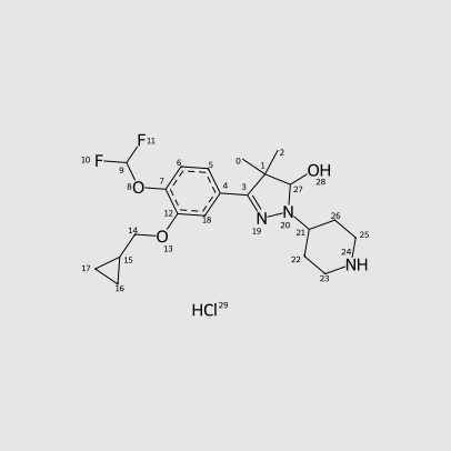 CC1(C)C(c2ccc(OC(F)F)c(OCC3CC3)c2)=NN(C2CCNCC2)C1O.Cl